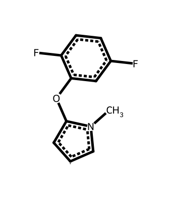 Cn1c[c]cc1Oc1cc(F)ccc1F